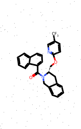 O=C(c1cccc2ccccc12)N1Cc2ccccc2C[C@H]1COc1ccc(C(F)(F)F)cn1